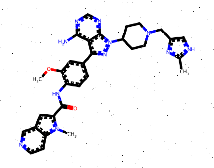 COc1cc(-c2nn(C3CCN(Cc4c[nH]c(C)n4)CC3)c3ncnc(N)c23)ccc1NC(=O)c1cc2cnccc2n1C